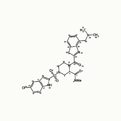 CNC(=O)C1CN(S(=O)(=O)c2cc3cc(Cl)ccc3[nH]2)CCN1C(=O)c1nc2c(CN(C)C)cccc2s1